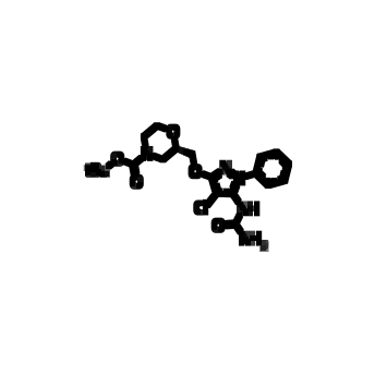 CC(C)(C)OC(=O)N1CCO[C@@H](COc2nn(-c3ccccc3)c(NC(N)=O)c2Cl)C1